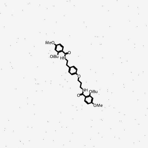 COc1ccc(C(=O)NCCCOc2ccc(CCNC(=O)c3ccc(OC)cc3OCC(C)C)cc2)c(OCC(C)C)c1